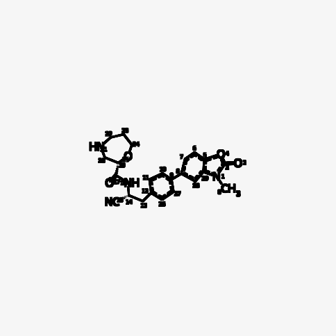 Cn1c(=O)oc2ccc(-c3ccc(C[C@H](C#N)NC(=O)[C@@H]4CNCCCO4)cc3)cc21